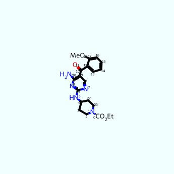 CCOC(=O)N1CCC(Nc2ncc(C(=O)c3ccccc3OC)c(N)n2)CC1